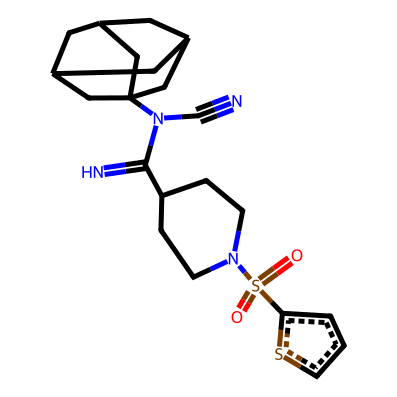 N#CN(C(=N)C1CCN(S(=O)(=O)c2cccs2)CC1)C12CC3CC(CC(C3)C1)C2